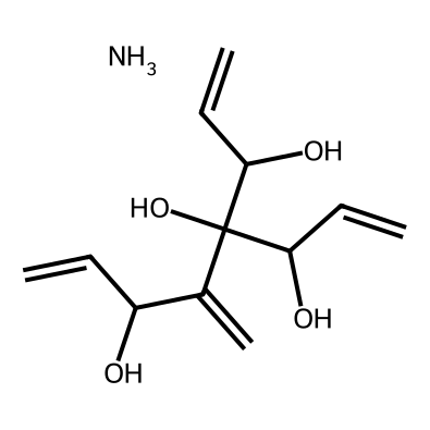 C=CC(O)C(=C)C(O)(C(O)C=C)C(O)C=C.N